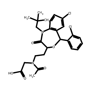 CC(=O)N(CCC1OC(c2ccccc2Cl)c2cc(Cl)ccc2N(CC(C)(C)C)C1=O)CC(=O)O